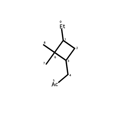 CCC1CC(CC(C)=O)C1(C)C